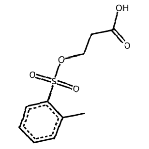 Cc1ccccc1S(=O)(=O)OCCC(=O)O